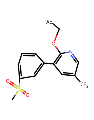 CC(=O)COc1ncc(C(F)(F)F)cc1-c1cccc(S(C)(=O)=O)c1